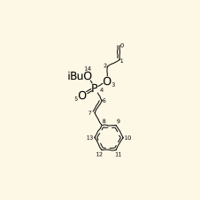 C=CCOP(=O)(C=Cc1ccccc1)OCC(C)C